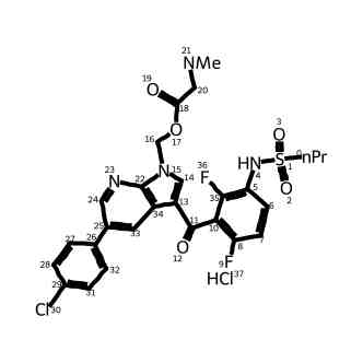 CCCS(=O)(=O)Nc1ccc(F)c(C(=O)c2cn(COC(=O)CNC)c3ncc(-c4ccc(Cl)cc4)cc23)c1F.Cl